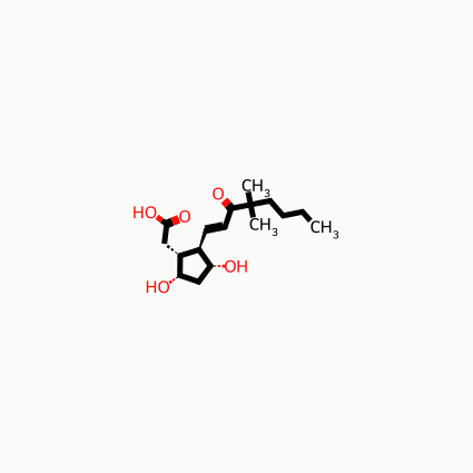 CCCCC(C)(C)C(=O)C=C[C@@H]1[C@@H](CC(=O)O)[C@@H](O)C[C@H]1O